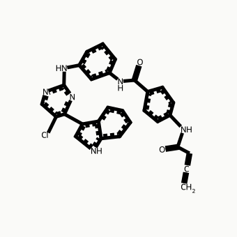 C=C=CC(=O)Nc1ccc(C(=O)Nc2cccc(Nc3ncc(Cl)c(-c4c[nH]c5ccccc45)n3)c2)cc1